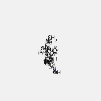 Cc1nc(Cn2ccn([C@H](C(=O)N[C@@H](Cc3ccccc3)[C@H](O)CN(CC(C)C)S(=O)(=O)c3ccc(/C=N/O)cc3)C(C)C)c2=O)cs1